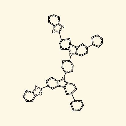 c1ccc(-c2ccc3c(c2)c2cc(-c4nc5ccccc5o4)ccc2n3-c2ccc(-n3c4ccc(-c5ccccc5)cc4c4cc(-c5nc6ccccc6o5)ccc43)cc2)cc1